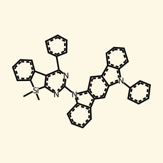 C[Si]1(C)c2ccccc2-c2c(-c3ccccc3)nc(-n3c4ccccc4c4cc5c(cc43)c3ccccc3n5-c3ccccc3)nc21